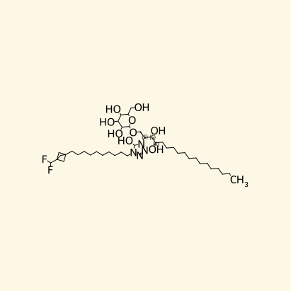 CCCCCCCCCCCCCC[C@@H](O)[C@@H](O)[C@H](COC1OC(CO)C(O)C(O)C1O)N1N=NN(CCCCCCCCCCC23CC(C(F)F)(C2)C3)C1O